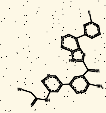 C=C(CC(C)C)Nc1cncc(-c2ccc(N)c(C(=N)c3nc4c(-c5cccc(F)c5)cncc4[nH]3)c2)c1